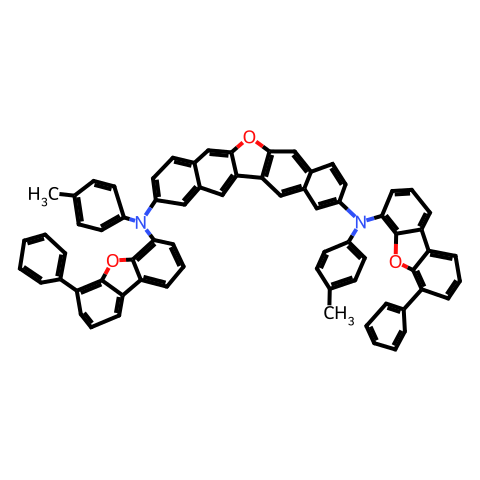 Cc1ccc(N(c2ccc3cc4oc5cc6ccc(N(c7ccc(C)cc7)c7cccc8c7oc7c(-c9ccccc9)cccc78)cc6cc5c4cc3c2)c2cccc3c2oc2c(-c4ccccc4)cccc23)cc1